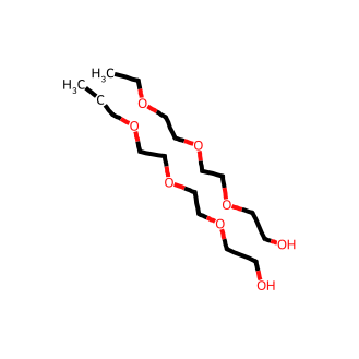 CCCOCCOCCOCCO.CCOCCOCCOCCO